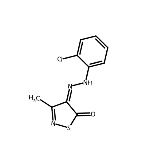 CC1=NSC(=O)C1=NNc1ccccc1Cl